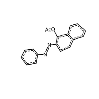 CC(=O)Oc1c(N=Nc2ccccc2)ccc2ccccc12